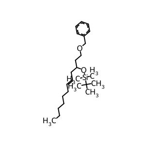 CCCCCCC=CCC(CCOCc1ccccc1)O[Si](C)(C)C(C)(C)C